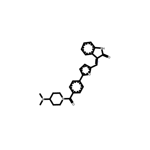 CN(C)C1CCN(C(=O)c2ccc(-c3ccc(/C=C4/C(=O)Nc5ccccc54)o3)cc2)CC1